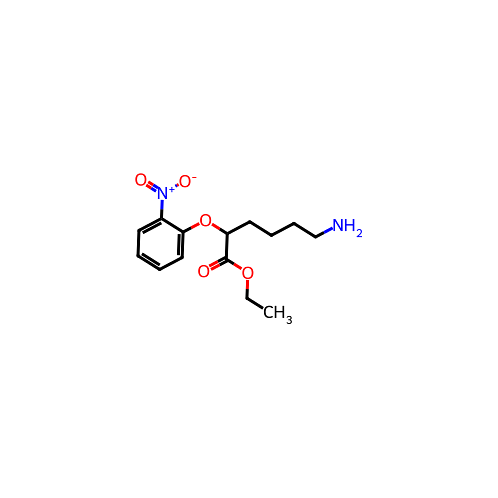 CCOC(=O)C(CCCCN)Oc1ccccc1[N+](=O)[O-]